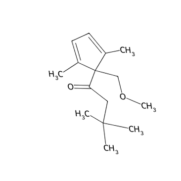 COCC1(C(=O)CC(C)(C)C)C(C)=CC=C1C